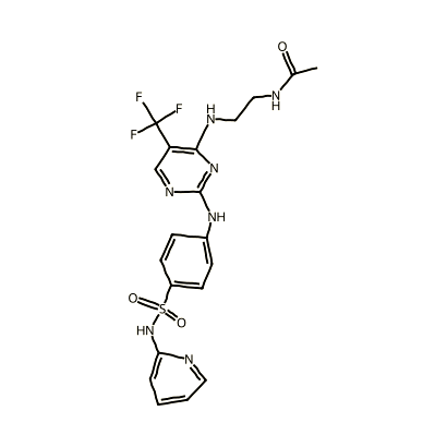 CC(=O)NCCNc1nc(Nc2ccc(S(=O)(=O)Nc3ccccn3)cc2)ncc1C(F)(F)F